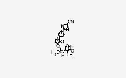 Cc1c(N[C@@H](C)CO[C@@H]2CCN(C3CCN(c4ncc(C#N)cn4)CC3)C2=O)cn[nH]c1=O